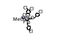 CO/N=C\[C@@H](F)[C@H](OCc1ccc(Cl)cc1)[C@H](BCc1cc(Cl)c(Cl)cc1Cl)COCc1ccc(Cl)cc1